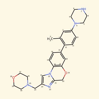 Cc1cc(N2CCNCC2)ccc1-c1ccc2c(c1)OCc1nc(CN3CCOCC3)cn1-2